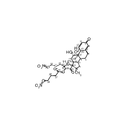 C[C@@H]1CC2C3CCC4=CC(=O)C=C[C@]4(C)[C@@]3(F)[C@@H](O)C[C@]2(C)[C@@]1(OC(=O)CCCO[N+](=O)[O-])C(=O)COC(=O)CCCO[N+](=O)[O-]